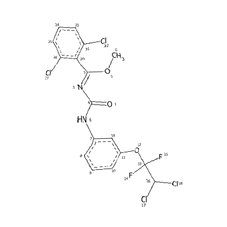 CO/C(=N\C(=O)Nc1cccc(OC(F)(F)C(Cl)Cl)c1)c1c(Cl)cccc1Cl